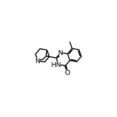 Cc1cccc2c(=O)[nH]c(C3CN4CCC3CC4)nc12